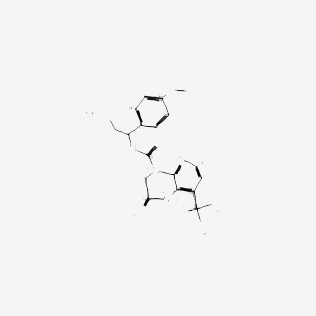 COCC(NC(=O)N1CC(=O)Nc2c(C(C)(C)O)ccnc21)c1ccc(OC(F)(F)F)cc1